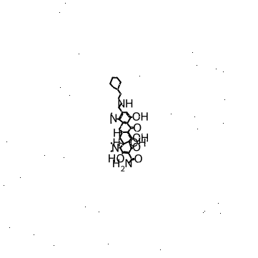 CN(C)c1c(CNCCC2CCCCC2)cc(O)c2c1C[C@H]1C[C@H]3[C@H](N(C)C)C(O)=C(C(N)=O)C(=O)[C@@]3(O)C(O)=C1C2=O